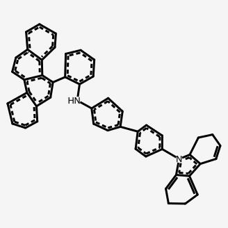 C1=Cc2c(n(-c3ccc(-c4ccc(Nc5ccccc5-c5cc6ccccc6c6ccc7ccccc7c56)cc4)cc3)c3c2=CCCC=3)CC1